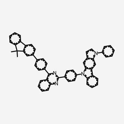 CC1(C)c2ccccc2-c2ccc(-c3ccc(-c4nc(-c5ccc(-n6c7ccccc7c7cc8c(ccn8-c8ccccc8)cc76)cc5)nc5ccccc45)cc3)cc21